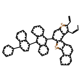 C=Cc1sc2cc(-c3c4ccccc4c(-c4ccc(-c5ccccc5)c5ccccc45)c4ccccc34)c3sc4c5ccccc5ccc4c3c2c1/C=C\C